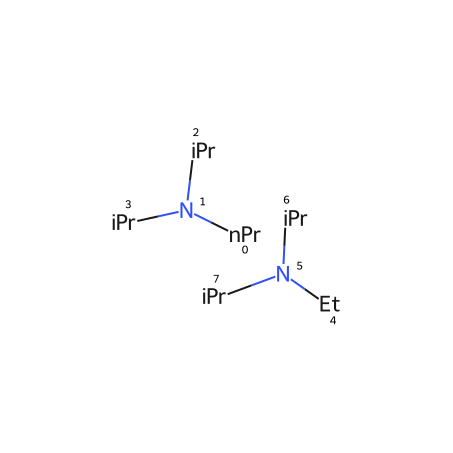 CCCN(C(C)C)C(C)C.CCN(C(C)C)C(C)C